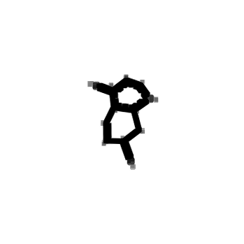 O=C1C=Cc2c(occc2=O)C1